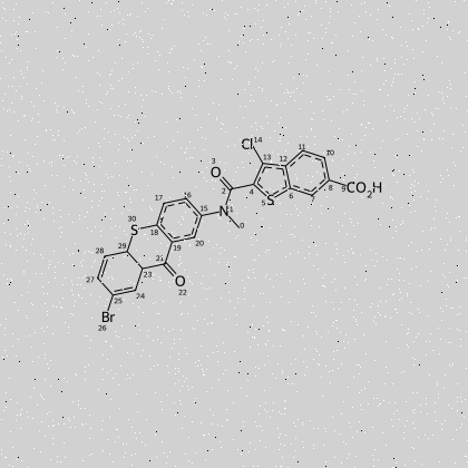 CN(C(=O)c1sc2cc(C(=O)O)ccc2c1Cl)c1ccc2c(c1)C(=O)C1C=C(Br)C=CC1S2